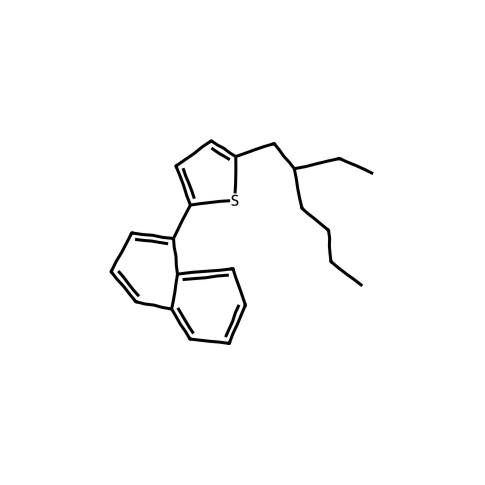 CCCCC(CC)Cc1ccc(-c2cccc3ccccc23)s1